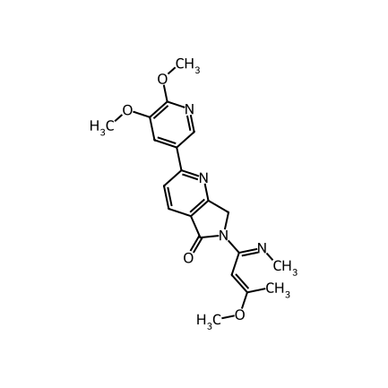 C/N=C(\C=C(/C)OC)N1Cc2nc(-c3cnc(OC)c(OC)c3)ccc2C1=O